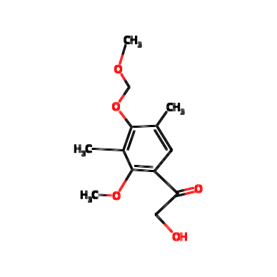 COCOc1c(C)cc(C(=O)CO)c(OC)c1C